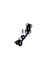 CC[n+]1c(/C=C/C=C2C=C(/C=C3\Sc4cc(C)cc5c4N3CCC5)CCC/2)oc2cc3c(cc21)OCO3